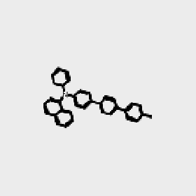 Cc1ccc(-c2ccc(-c3ccc(N(c4cccc5ccccc45)C4C=CC=CC4)cc3)cc2)cc1